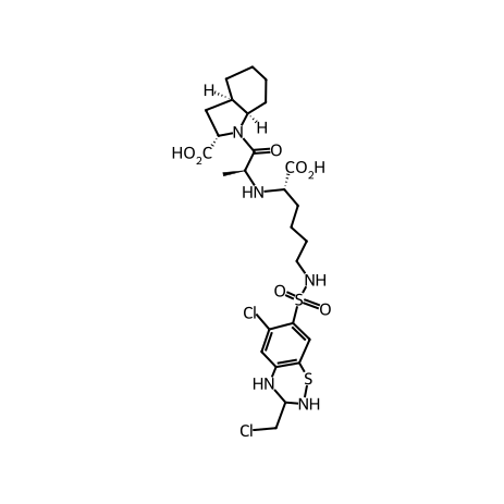 C[C@H](N[C@@H](CCCCNS(=O)(=O)c1cc2c(cc1Cl)NC(CCl)NS2)C(=O)O)C(=O)N1[C@@H]2CCCC[C@@H]2C[C@H]1C(=O)O